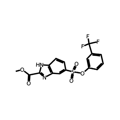 COC(=O)c1nc2cc(S(=O)(=O)Oc3cccc(C(F)(F)F)c3)ccc2[nH]1